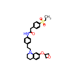 CCS(=O)(=O)c1ccc(CC(=O)Nc2ccc(CCN3CCCc4ccc(OC5COC5)cc43)cc2)cc1